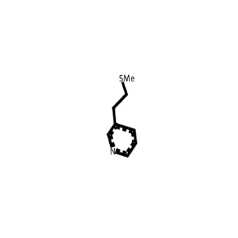 [CH2]SCCc1cccnc1